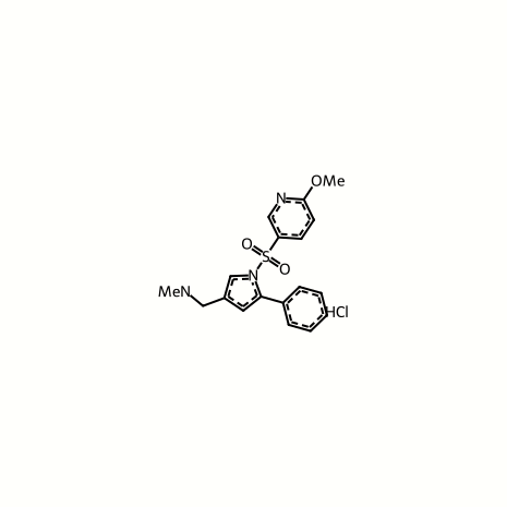 CNCc1cc(-c2ccccc2)n(S(=O)(=O)c2ccc(OC)nc2)c1.Cl